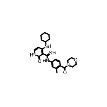 Cc1cc(NC(=N)c2c(NC3CCCCC3)cc[nH]c2=O)ccc1C(=O)N1CCOCC1